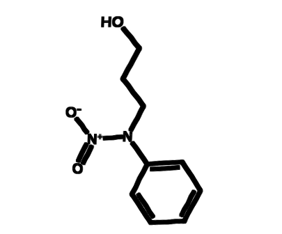 O=[N+]([O-])N(CCCO)c1ccccc1